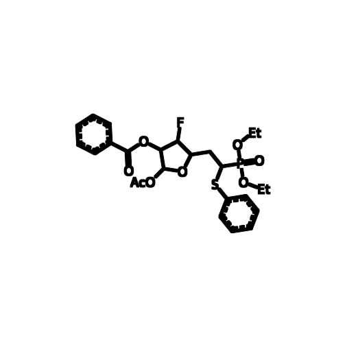 CCOP(=O)(OCC)C(CC1OC(OC(C)=O)C(OC(=O)c2ccccc2)C1F)Sc1ccccc1